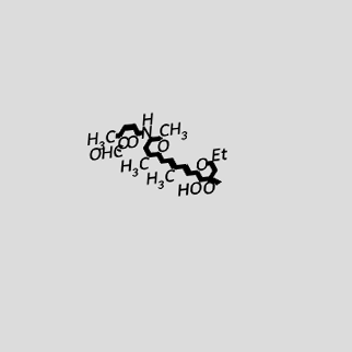 CC[C@@H]1CC2(CO2)[C@H](O)C(/C=C/C(C)=C/CC2OC(C)C(NC(=O)/C=C\C(C)OC=O)CC2C)O1